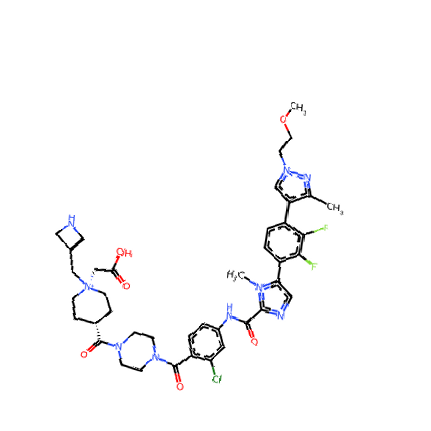 COCCn1cc(-c2ccc(-c3cnc(C(=O)Nc4ccc(C(=O)N5CCN(C(=O)[C@H]6CC[N@+](CC(=O)O)(CC7CNC7)CC6)CC5)c(Cl)c4)n3C)c(F)c2F)c(C)n1